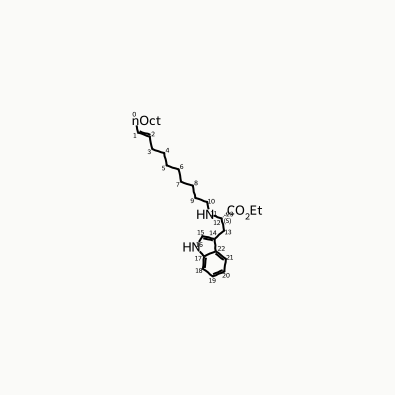 CCCCCCCCC=CCCCCCCCCN[C@@H](Cc1c[nH]c2ccccc12)C(=O)OCC